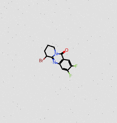 O=c1c2cc(F)c(F)cc2nc2n1CCCC2Br